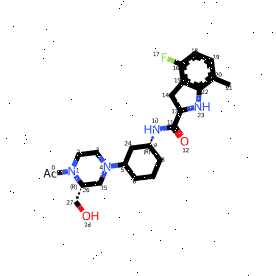 CC(=O)N1CCN(C2CCC[C@@H](NC(=O)C3Cc4c(F)ccc(C)c4N3)C2)C[C@@H]1CO